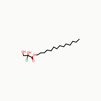 CCCCCCCCCCCCCCOC(=O)C(O)(Cl)CO